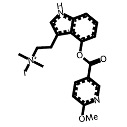 COc1ccc(C(=O)Oc2cccc3[nH]cc(CC[N+](C)(C)I)c23)cn1